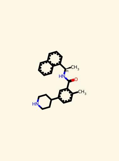 Cc1ccc(C2CCNCC2)cc1C(=O)N[C@H](C)c1cccc2ccccc12